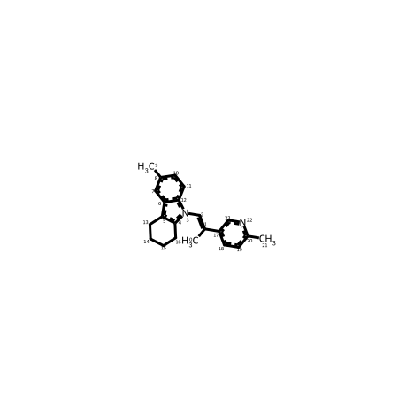 C/C(=C\n1c2c(c3cc(C)ccc31)CCCC2)c1ccc(C)nc1